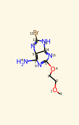 COCCOc1nc(N)c2nc(Br)[nH]c2n1